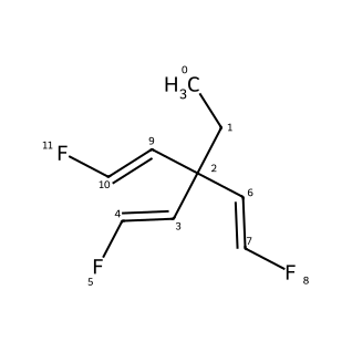 CCC(C=CF)(C=CF)C=CF